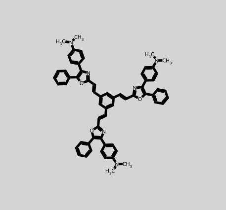 CN(C)c1ccc(-c2nc(C=Cc3cc(C=Cc4nc(-c5ccc(N(C)C)cc5)c(-c5ccccc5)o4)cc(C=Cc4nc(-c5ccc(N(C)C)cc5)c(-c5ccccc5)o4)c3)oc2-c2ccccc2)cc1